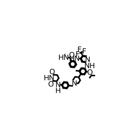 CNC(=O)c1ccccc1Nc1cc(Nc2cc(C)c(C3CCN(Cc4ccc(NC5CCC(=O)NC5=O)cc4)CC3)cc2OC(C)C)ncc1C(F)(F)F